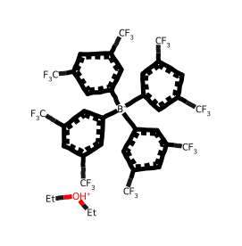 CC[OH+]CC.FC(F)(F)c1cc([B-](c2cc(C(F)(F)F)cc(C(F)(F)F)c2)(c2cc(C(F)(F)F)cc(C(F)(F)F)c2)c2cc(C(F)(F)F)cc(C(F)(F)F)c2)cc(C(F)(F)F)c1